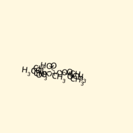 CC(C)(C)OC(=O)COc1ccc(C(C)(CCC(=O)O)c2ccc(OCC(=O)OC(C)(C)C)cc2)cc1